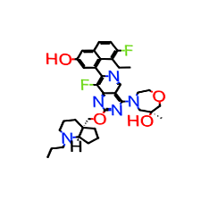 CCCN1CCC[C@@]2(COc3nc(N4CCOC[C@@](C)(O)C4)c4cnc(-c5cc(O)cc6ccc(F)c(CC)c56)c(F)c4n3)CCC[C@@H]12